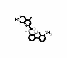 Cc1cc(C(=O)Nc2cccc(-c3cccc(N)c3C)c2Cl)nc2c1CCNC2